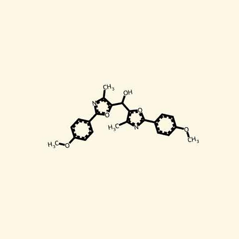 COc1ccc(-c2nc(C)c(C(O)c3oc(-c4ccc(OC)cc4)nc3C)o2)cc1